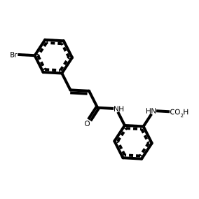 O=C(O)Nc1ccccc1NC(=O)C=Cc1cccc(Br)c1